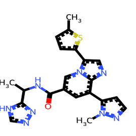 Cc1ccc(-c2cnc3c(-c4ccnn4C)cc(C(=O)NC(C)c4nnc[nH]4)cn23)s1